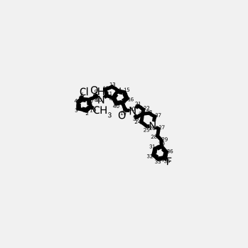 Cc1cccc(Cl)c1C(=O)NC1CCc2ccc(C(=O)N3CCC4(CCN(CCCc5cccc(F)c5)CC4)C3)cc21